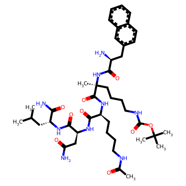 CC(=O)NCCCC[C@H](NC(=O)[C@](C)(CCCCNC(=O)OC(C)(C)C)NC(=O)[C@@H](N)Cc1ccc2ccccc2c1)C(=O)N[C@@H](CC(N)=O)C(=O)N[C@H](CC(C)C)C(N)=O